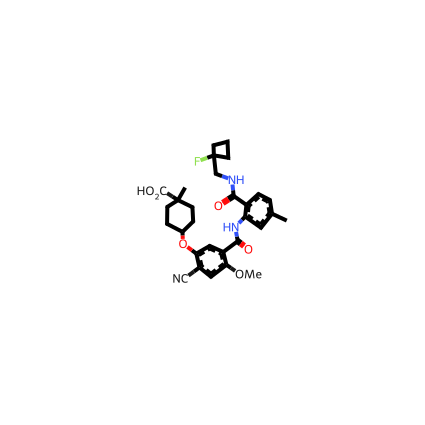 COc1cc(C#N)c(OC2CCC(C)(C(=O)O)CC2)cc1C(=O)Nc1cc(C)ccc1C(=O)NCC1(F)CCC1